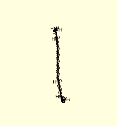 O=C(CCCCC1SCC2NC(=O)NC21)NCCOCCOCCOCCOCCOCCOCCOCCOCCOCCOCCOCCOCCC(=O)NCCCOCCOCCOCCCNC(=O)Cc1ccccc1O